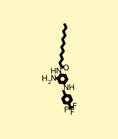 CCCCCCCCCCCC(=O)Nc1ccc(NCc2ccc(C(F)(F)F)cc2)cc1N